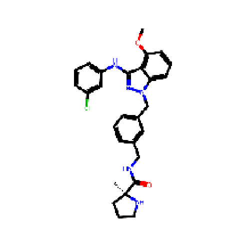 COc1cccc2c1c(Nc1cccc(Cl)c1)nn2Cc1cccc(CNC(=O)[C@]2(C)CCCN2)c1